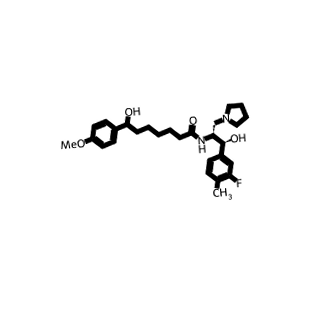 COc1ccc(C(O)CCCCCC(=O)N[C@H](CN2CCCC2)[C@H](O)c2ccc(C)c(F)c2)cc1